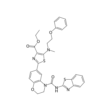 CCOC(=O)c1nc(-c2ccc3c(c2)N(C(=O)Nc2nc4ccccc4s2)CCO3)sc1N(C)CCOc1ccccc1